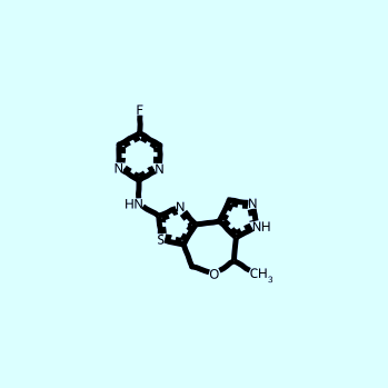 CC1OCc2sc(Nc3ncc(F)cn3)nc2-c2cn[nH]c21